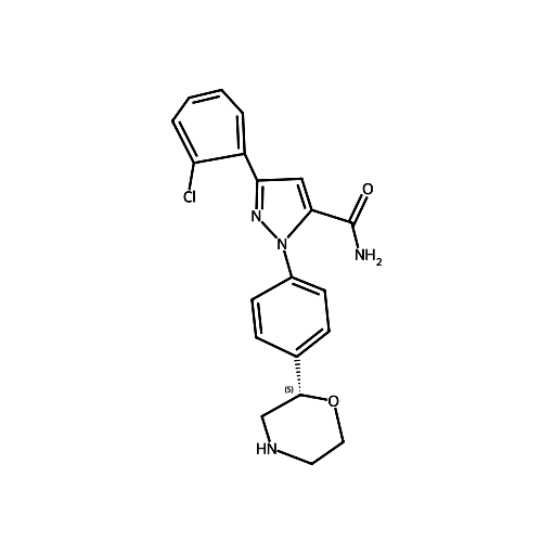 NC(=O)c1cc(-c2ccccc2Cl)nn1-c1ccc([C@H]2CNCCO2)cc1